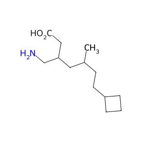 CC(CCC1CCC1)CC(CN)CC(=O)O